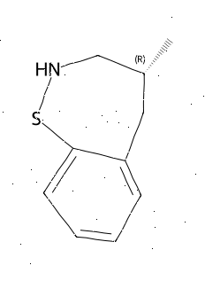 C[C@H]1CNSc2ccccc2C1